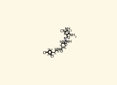 Nc1nc(N)c(C(=O)/N=C2\NCC3(CCN(C(=O)NCCCc4ccc(Cl)cc4Cl)CC3)N2)nc1Cl